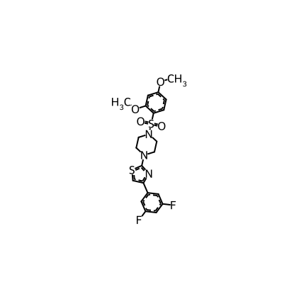 COc1ccc(S(=O)(=O)N2CCN(c3nc(-c4cc(F)cc(F)c4)cs3)CC2)c(OC)c1